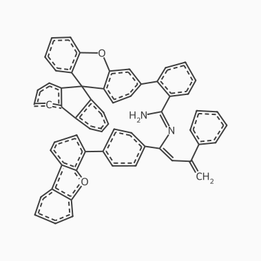 C=C(/C=C(\N=C(/N)c1ccccc1-c1ccc2c(c1)Oc1ccccc1C21c2ccccc2-c2ccccc21)c1ccc(-c2cccc3c2oc2ccccc23)cc1)c1ccccc1